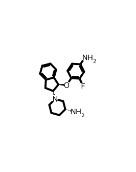 Nc1ccc(O[C@@H]2c3ccccc3C[C@H]2N2CCC[C@@H](N)C2)c(F)c1